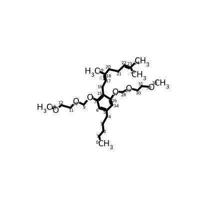 CCCCCc1cc(OCOCCOC)c(C/C=C(\C)CCC=C(C)C)c(OCOCCOC)c1